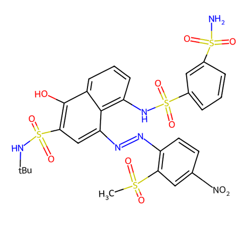 CC(C)(C)NS(=O)(=O)c1cc(N=Nc2ccc([N+](=O)[O-])cc2S(C)(=O)=O)c2c(NS(=O)(=O)c3cccc(S(N)(=O)=O)c3)cccc2c1O